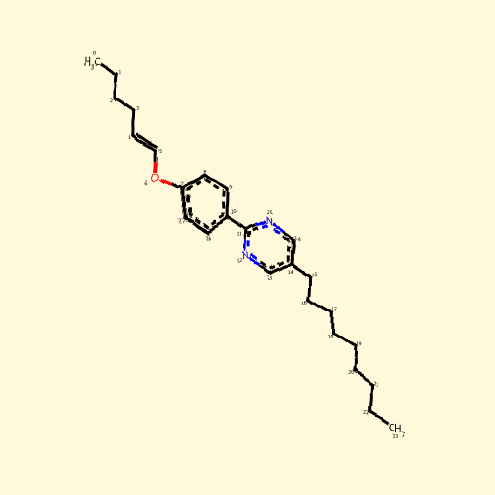 CCCCC=COc1ccc(-c2ncc(CCCCCCCCC)cn2)cc1